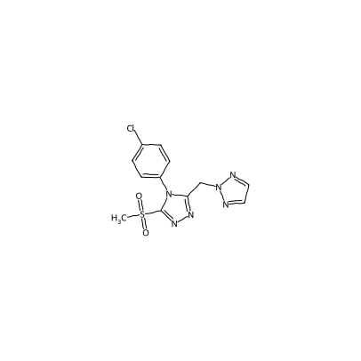 CS(=O)(=O)c1nnc(Cn2nccn2)n1-c1ccc(Cl)cc1